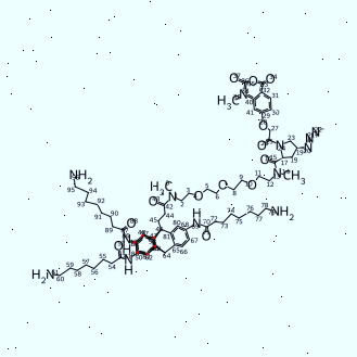 CN(CCOCCOCCOCCN(C)C(=O)[C@@H]1C[C@H](N=[N+]=[N-])CN1C(=O)COc1ccc2c(=O)oc(=O)n(C)c2c1)C(=O)CCC12c3ccc(NC(=O)CCCCCCCN)cc3C(c3ccc(NC(=O)CCCCCCCN)cc31)c1ccc(NC(=O)CCCCCCCN)cc12